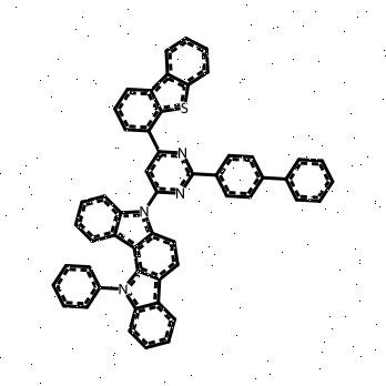 c1ccc(-c2ccc(-c3nc(-c4cccc5c4sc4ccccc45)cc(-n4c5ccccc5c5c4ccc4c6ccccc6n(-c6ccccc6)c45)n3)cc2)cc1